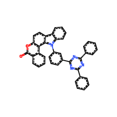 O=c1oc2ccc3c4ccccc4n(-c4cccc(-c5nc(-c6ccccc6)nc(-c6ccccc6)n5)c4)c3c2c2ccccc12